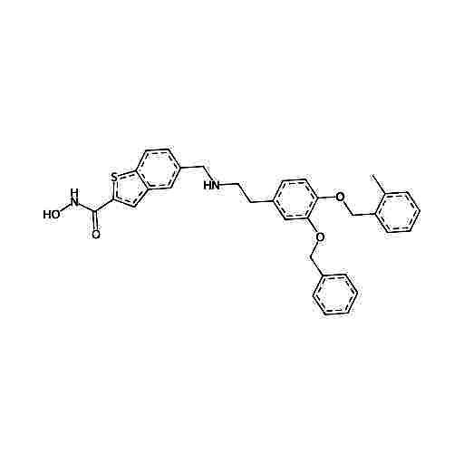 Cc1ccccc1COc1ccc(CCNCc2ccc3sc(C(=O)NO)cc3c2)cc1OCc1ccccc1